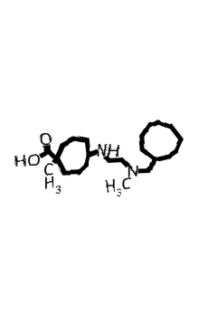 CN(CCNC1CCCC(C)(C(=O)O)CCC1)CC1CCCCCCCC1